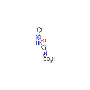 Cn1nc(C(=O)Nc2ccc(CN3CC(C)(C(=O)O)C3)cc2)cc1-c1ccccc1